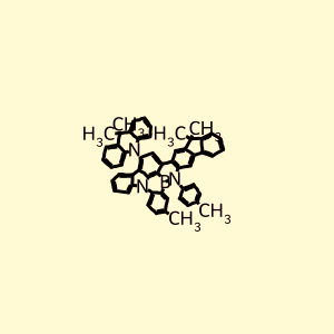 Cc1ccc(N2B3c4cc(C)ccc4-n4c5ccccc5c5c(N6c7ccccc7C(C)(C)c7ccccc76)cc(c3c54)-c3cc4c(cc32)-c2ccccc2C4(C)C)cc1